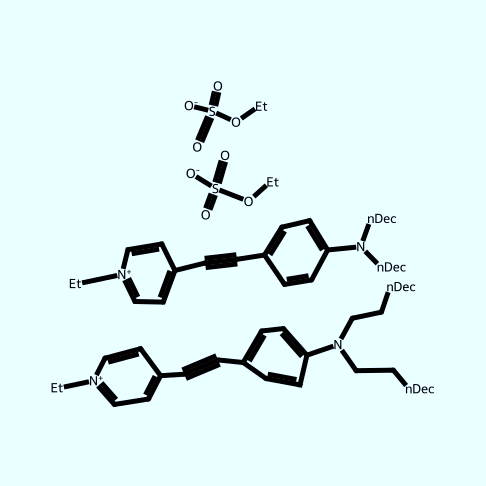 CCCCCCCCCCCCN(CCCCCCCCCCCC)c1ccc(C#Cc2cc[n+](CC)cc2)cc1.CCCCCCCCCCN(CCCCCCCCCC)c1ccc(C#Cc2cc[n+](CC)cc2)cc1.CCOS(=O)(=O)[O-].CCOS(=O)(=O)[O-]